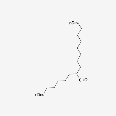 CCCCCCCCCCCCCCCCCC([C]=O)CCCCCCCCCCCCCCC